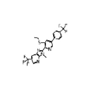 CCSc1cc(-c2ccc(C(F)(F)F)cc2)cnc1-c1nc2cc(C(F)(F)F)cnc2n1C